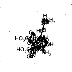 C#CCC(NC(=O)C(CCCCNC(=O)CCCC[C@H]1SC[C@H]2NC(=C)N[C@H]21)NC(=O)CNC(=O)C(CO)NC(=O)C(CCCCN)NC(=O)C(CO)NC(=O)CNC(=O)C(CCCCNC(=O)C(CCC(=O)O)NC(=O)CCN1C(=O)C=CC1=O)NC(=O)C(CCC(=O)O)NC(=O)CCN1C(=O)C=CC1=O)C(N)=O